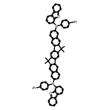 CC(C)c1ccc(N(c2ccc3cc4c(cc3c2)C(C)(C)c2cc3c(cc2-4)C(C)(C)c2cc4cc(N(c5ccc(C(C)C)cc5)c5cccc6c5oc5ccccc56)ccc4cc2-3)c2cccc3c2oc2ccccc23)cc1